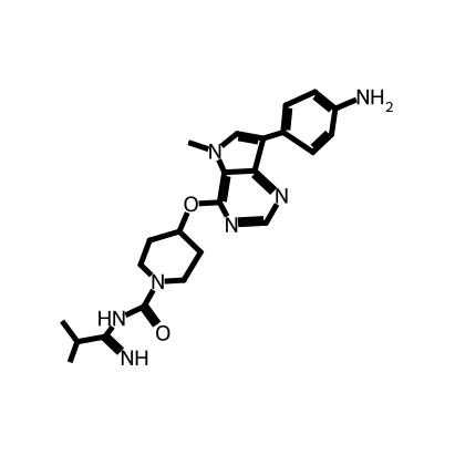 CC(C)C(=N)NC(=O)N1CCC(Oc2ncnc3c(-c4ccc(N)cc4)cn(C)c23)CC1